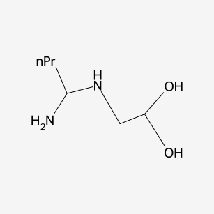 CCCC(N)NCC(O)O